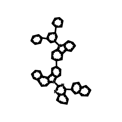 c1ccc(-c2cc(-c3ccccc3)cc(-n3c4ccccc4c4cc(-c5ccc6c(c5)c5c7ccccc7ccc5n6-c5nc(-c6ccc7ccccc7c6)c6ccccc6n5)ccc43)c2)cc1